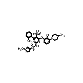 Cc1ccccc1-c1nc(NS(=O)(=O)c2cnn(C)c2)nc(Oc2cccc(N3CCN(C)CC3)c2Cl)c1C(F)(F)C(F)(F)F